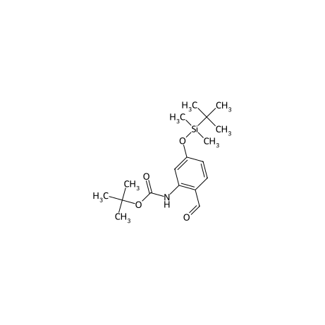 CC(C)(C)OC(=O)Nc1cc(O[Si](C)(C)C(C)(C)C)ccc1C=O